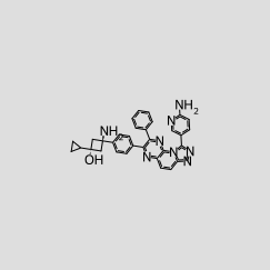 Nc1ccc(-c2nnc3ccc4nc(-c5ccc([C@]6(N)C[C@@](O)(C7CC7)C6)cc5)c(-c5ccccc5)nc4n23)cn1